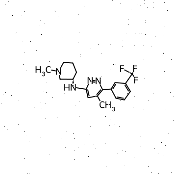 Cc1cc(N[C@@H]2CCCN(C)C2)nnc1-c1cccc(C(F)(F)F)c1